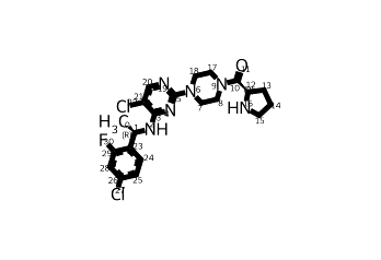 C[C@@H](Nc1nc(N2CCN(C(=O)[C@H]3CCCN3)CC2)ncc1Cl)c1ccc(Cl)cc1F